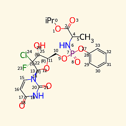 CC(C)OC(=O)C(C)NP(=O)(OC[C@H]1O[C@@H](n2ccc(=O)[nH]c2=O)[C@@](F)(Cl)[C@@H]1O)Oc1ccccc1